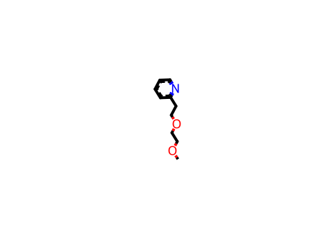 COCCOCCc1ccccn1